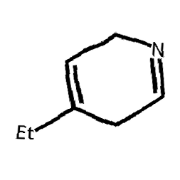 CCC1=CCN=CC1